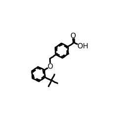 CC(C)(C)c1ccccc1OCc1ccc(C(=O)O)cc1